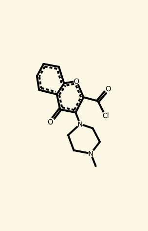 CN1CCN(c2c(C(=O)Cl)oc3ccccc3c2=O)CC1